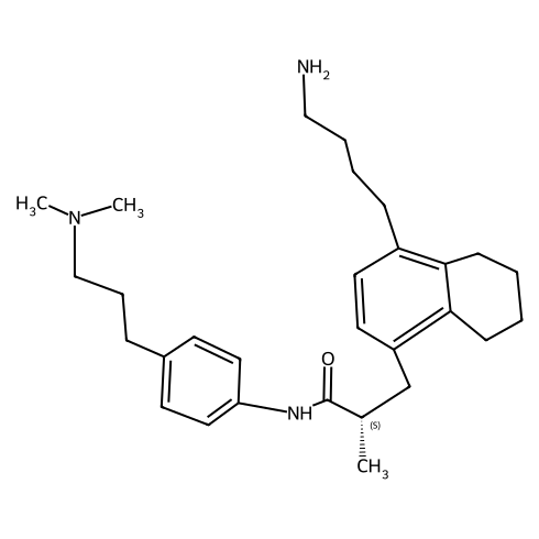 C[C@@H](Cc1ccc(CCCCN)c2c1CCCC2)C(=O)Nc1ccc(CCCN(C)C)cc1